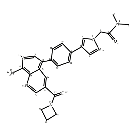 CN(C)C(=O)Cn1cc(-c2ccc(-c3cnc(N)c4ncc(C(=O)N5CCC5)cc34)cc2)cn1